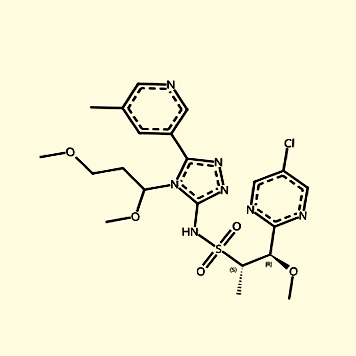 COCCC(OC)n1c(NS(=O)(=O)[C@@H](C)[C@H](OC)c2ncc(Cl)cn2)nnc1-c1cncc(C)c1